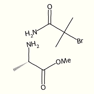 CC(C)(Br)C(N)=O.COC(=O)[C@H](C)N